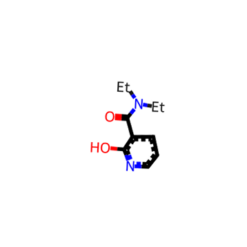 CCN(CC)C(=O)c1cccnc1O